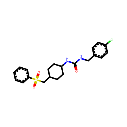 O=C(NCc1ccc(Cl)cc1)NC1CCC(CS(=O)(=O)c2ccccc2)CC1